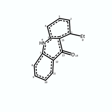 CCc1cccc2[nH]c3ccccc3c(=O)c12